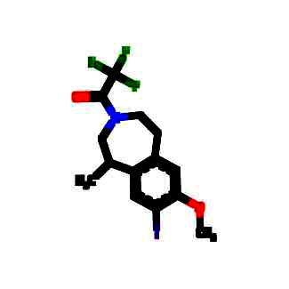 COc1cc2c(cc1I)C(C)CN(C(=O)C(F)(F)F)CC2